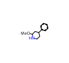 COC1CC(c2ccccc2)CCN1